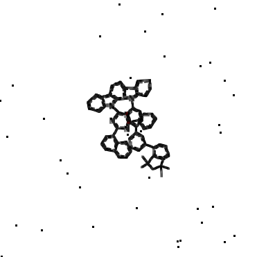 CC1(C)CC(C)(C)c2c(-c3cccc(-c4ccc(-n5c6ccccc6c6ccc7c8ccccc8n(-c8nc(-c9ccccc9)nc(-c9cccc%10ccccc9%10)n8)c7c65)cc4)c3)cccc21